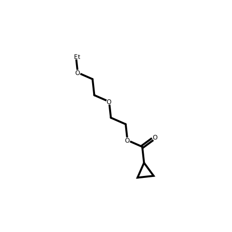 CCOCCOCCOC(=O)C1CC1